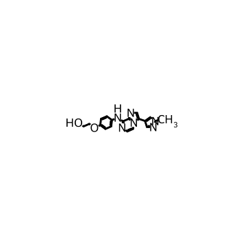 Cn1cc(-c2cnc3c(Nc4ccc(OCCO)cc4)nccn23)cn1